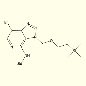 CC(C)(C)Nc1ncc(Br)c2ncn(COCC[Si](C)(C)C)c12